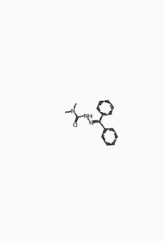 CN(C)C(=O)NN=C(c1ccccc1)c1ccccc1